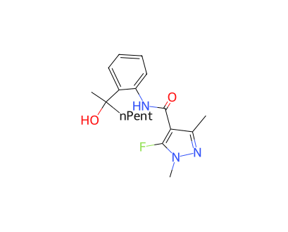 CCCCCC(C)(O)c1ccccc1NC(=O)c1c(C)nn(C)c1F